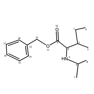 CCC(C)C(NC(C)C)C(=O)OCc1ccccc1